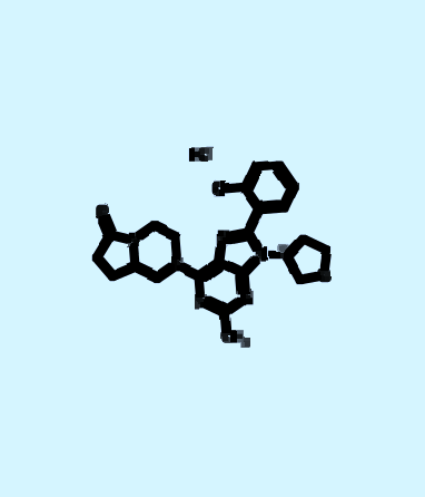 Cc1nc(N2CCN3C(=O)CCC3C2)c2nc(-c3ccccc3Cl)n([C@@H]3CCOC3)c2n1.Cl